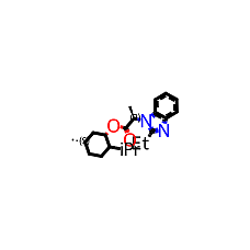 CCc1nc2ccccc2n1[C@H](C)C(=O)OC1C[C@@H](C)CCC1C(C)C